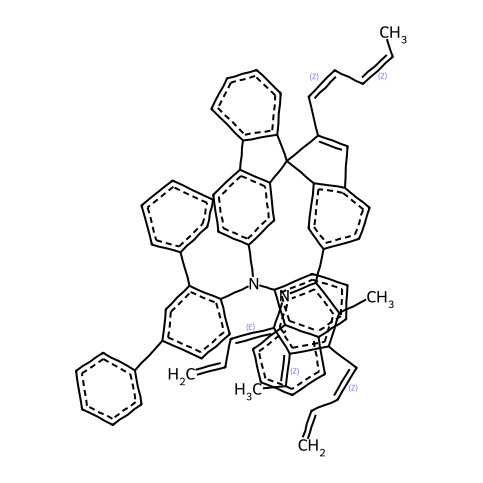 C=C/C=C\c1c(C)c(-c2ccc3c(c2)C2(C(/C=C\C=C/C)=C3)c3ccccc3-c3ccc(N(c4ccc(-c5ccccc5)cc4-c4ccccc4)c4cccc5ccccc45)cc32)nc(=C/C=C)/c1=C\C